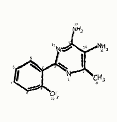 Cc1nc(-c2ccccc2C(F)(F)F)nc(N)c1N